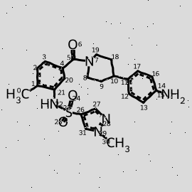 Cc1ccc(C(=O)N2CCC(c3ccc(N)cc3)CC2)cc1NS(=O)(=O)c1cnn(C)c1